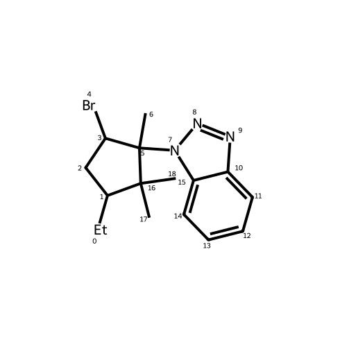 CCC1CC(Br)C(C)(n2nnc3ccccc32)C1(C)C